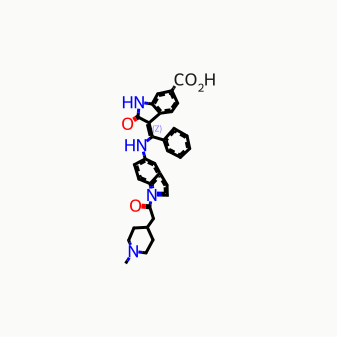 CN1CCC(CC(=O)n2ccc3cc(N/C(=C4\C(=O)Nc5cc(C(=O)O)ccc54)c4ccccc4)ccc32)CC1